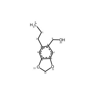 CCCc1cc2c(cc1CO)OCO2